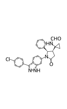 O=CNC1([C@H]2CC(=O)N(c3ccc4c(-c5ccc(Cl)cc5)n[nH]c4c3)[C@H]2c2ccccc2)CC1